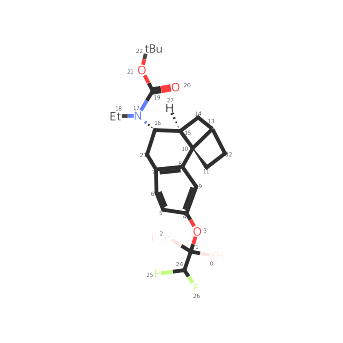 BC(B)(Oc1ccc2c(c1)[C@@]13CCC1C[C@@H]3[C@@H](N(CC)C(=O)OC(C)(C)C)C2)C(F)F